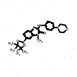 Cn1c(=O)c(Nc2ccc(N3CCOCC3)cc2)nc2ccc(B3OC(C)(C)C(C)(C)O3)cc21